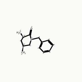 C[C@H]1C[C@@H](C)C(=O)N(Cc2ccccc2)C1